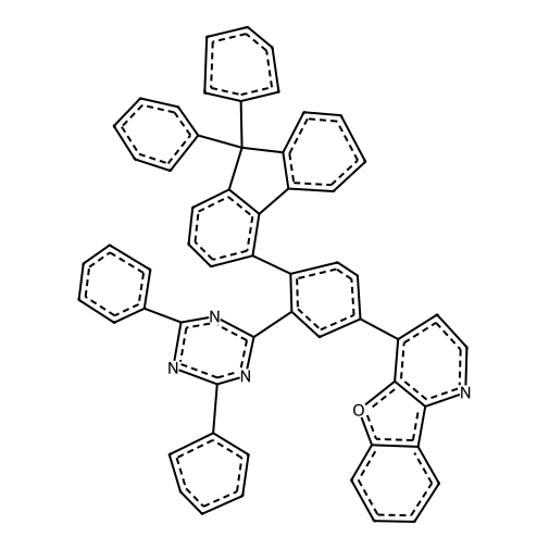 c1ccc(-c2nc(-c3ccccc3)nc(-c3cc(-c4ccnc5c4oc4ccccc45)ccc3-c3cccc4c3-c3ccccc3C4(c3ccccc3)c3ccccc3)n2)cc1